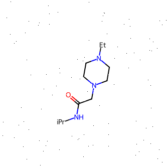 CCN1CCN(CC(=O)NC(C)C)CC1